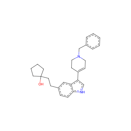 OC1(CCc2ccc3[nH]cc(C4=CCN(Cc5ccccc5)CC4)c3c2)CCCC1